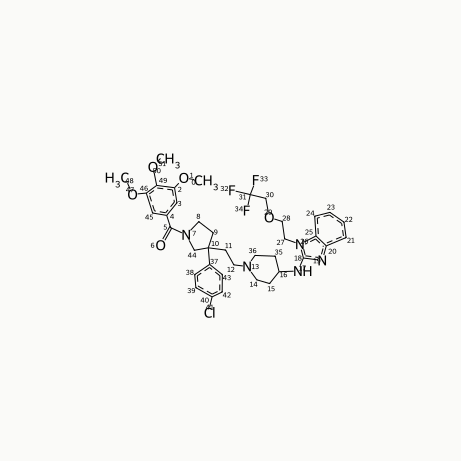 COc1cc(C(=O)N2CCC(CCN3CCC(Nc4nc5ccccc5n4CCOCC(F)(F)F)CC3)(c3ccc(Cl)cc3)C2)cc(OC)c1OC